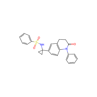 O=C1CCc2cc(C3(NS(=O)(=O)c4ccccc4)CC3)ccc2N1c1ccccc1